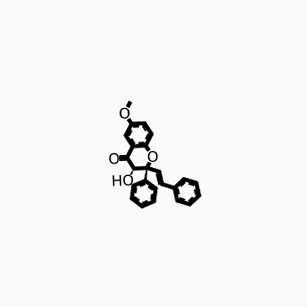 COc1ccc2c(c1)C(=O)[C@@H](O)[C@](/C=C/c1ccccc1)(c1ccccc1)O2